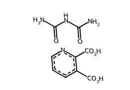 NC(=O)NC(N)=O.O=C(O)c1cccnc1C(=O)O